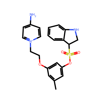 Cc1cc(OCC[n+]2ccc(N)cc2)cc(OS(=O)(=O)C2CNc3ccccc32)c1